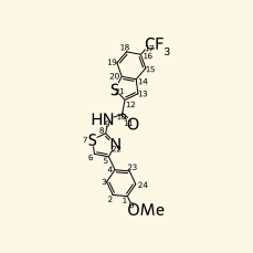 COc1ccc(-c2csc(NC(=O)c3cc4cc(C(F)(F)F)ccc4s3)n2)cc1